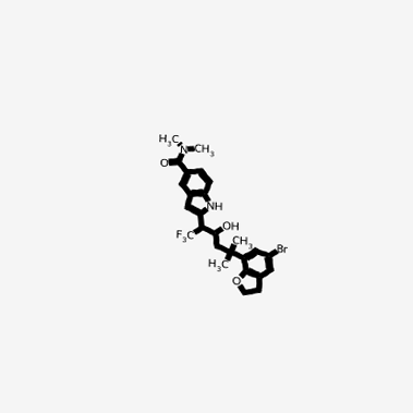 CN(C)C(=O)c1ccc2[nH]c(C(C(O)CC(C)(C)c3cc(Br)cc4c3OCC4)C(F)(F)F)cc2c1